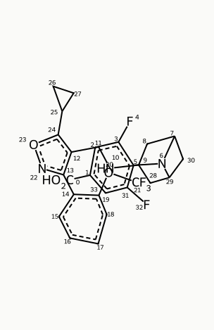 O=C(O)c1cc(F)c(N2C3CC(NCc4c(-c5ccccc5OC(F)(F)F)noc4C4CC4)CC2C3)c(F)c1